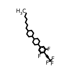 CCCCCCCC1CCC(C2CCC(c3cc(F)c(C#CC(F)(F)F)c(F)c3)CC2)CC1